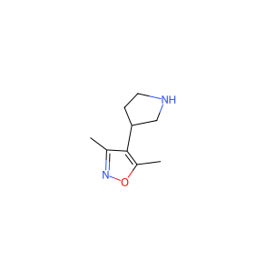 Cc1noc(C)c1C1CCNC1